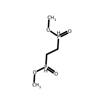 CO[PH](=O)CC[PH](=O)OC